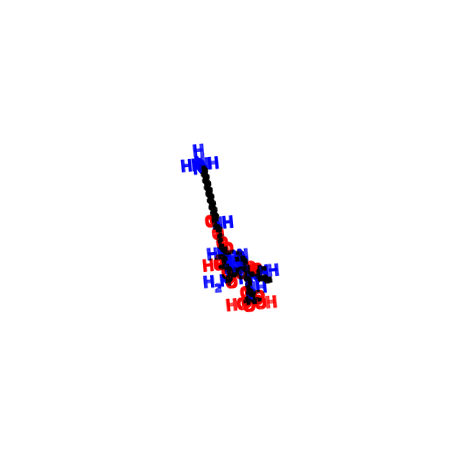 CCCCC(NC(=O)C(CCCNC(=O)CN(CC(=O)O)CC(=O)O)NC(=O)C(Cc1c[nH]cn1)NC(=O)C(CCC(N)=O)NC(=O)C(CO)NC(=O)CNC(=O)COCCOCCNC(=O)CCCCCCCCCCCCCCCC1=NNNN1)C(=O)NC